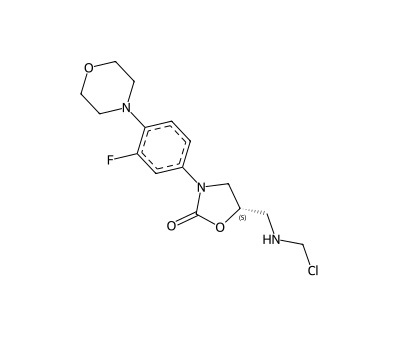 O=C1O[C@@H](CNCCl)CN1c1ccc(N2CCOCC2)c(F)c1